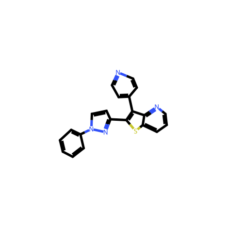 c1ccc(-n2ccc(-c3sc4cccnc4c3-c3ccncc3)n2)cc1